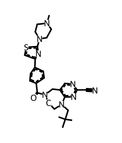 CN1CCN(c2nc(-c3ccc(C(=O)N4CCN(CC(C)(C)C)c5nc(C#N)ncc5C4)cc3)cs2)CC1